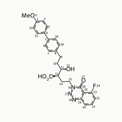 COc1ccc(-c2ccc(CC[C@@H](O)[C@@H](CCn3nnc4cccc(F)c4c3=O)C(=O)O)cc2)cc1